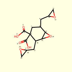 O=C(O)C1(C(=O)O)CC(CC2CO2)C2OC2C1CC1CO1